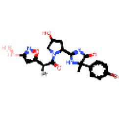 BBc1cc(C(C(=O)N2CC(O)CC2C2=NC(=O)C(C)(c3ccc(Br)cc3)N2)C(C)C)on1